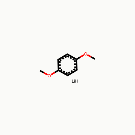 COc1[c]cc(OC)cc1.[LiH]